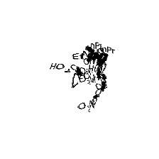 CCCOc1ccc(S(=O)(=O)N2CCN(CCOC(=O)COCCO[N+](=O)[O-])CC2)cc1-c1nc2c(CCC)cn(CC)c2c(=O)[nH]1.O=C(O)CC(O)(CC(=O)O)C(=O)O